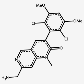 COc1cc(OC)c(Cl)c(-c2cc3cnc(CN)cc3n(C)c2=O)c1Cl